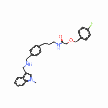 Cn1cc(CNCc2ccc(CCCNC(=O)COCc3ccc(F)cc3)cc2)c2ccccc21